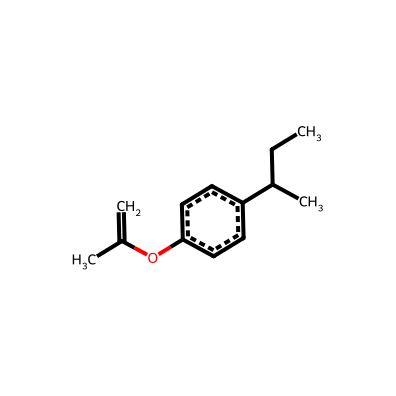 C=C(C)Oc1ccc(C(C)CC)cc1